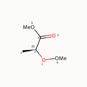 COO[C@@H](C)C(=O)OC